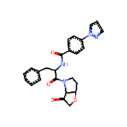 O=C(NC(Cc1ccccc1)C(=O)N1CCC2OCC(=O)C21)c1ccc(-n2cccn2)cc1